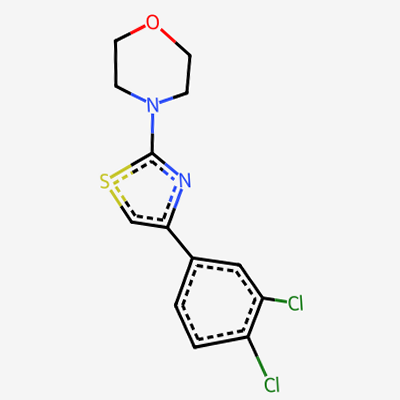 Clc1ccc(-c2csc(N3CCOCC3)n2)cc1Cl